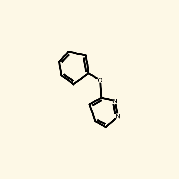 [c]1ccccc1Oc1cccnn1